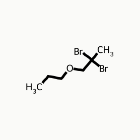 CCCOCC(C)(Br)Br